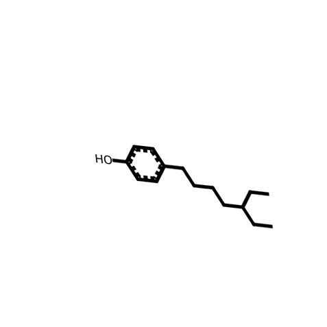 CCC(CC)CCCCc1ccc(O)cc1